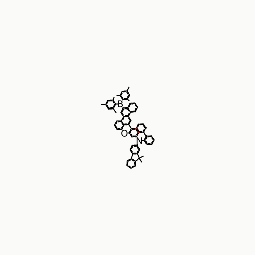 Cc1cc(C)c(B(c2c(C)cc(C)cc2C)c2cc3c4cccc5c4c(cc3c3ccccc23)-c2ccc(N(c3ccc4c(c3)C(C)(C)c3ccccc3-4)c3ccccc3-c3ccccc3)cc2O5)c(C)c1